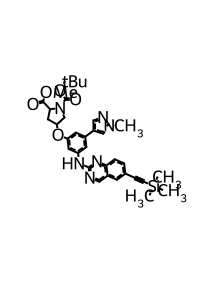 COC(=O)C1CC(Oc2cc(Nc3ncc4cc(C#C[Si](C)(C)C)ccc4n3)cc(-c3cnn(C)c3)c2)CN1C(=O)OC(C)(C)C